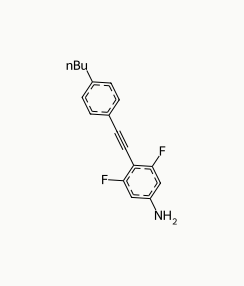 CCCCc1ccc(C#Cc2c(F)cc(N)cc2F)cc1